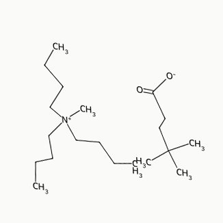 CC(C)(C)CCC(=O)[O-].CCCC[N+](C)(CCCC)CCCC